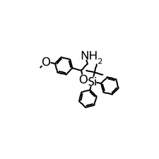 COc1ccc(C(CN)O[Si](c2ccccc2)(c2ccccc2)C(C)(C)C)cc1